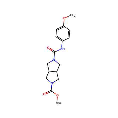 CC(C)(C)OC(=O)N1CC2CN(C(=O)Nc3ccc(OC(F)(F)F)cc3)CC2C1